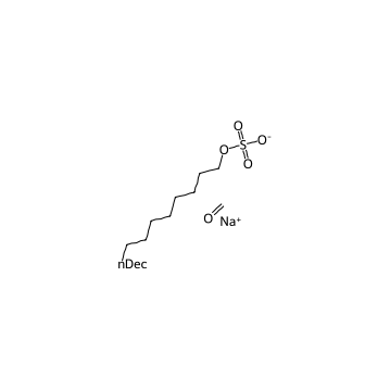 C=O.CCCCCCCCCCCCCCCCCCOS(=O)(=O)[O-].[Na+]